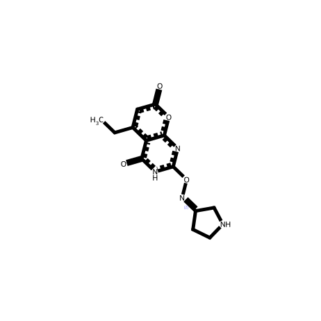 CCc1cc(=O)oc2nc(O/N=C3/CCNC3)[nH]c(=O)c12